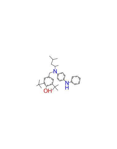 CC(C)CC(C)N(Cc1cc(C(C)(C)C)c(O)c(C(C)(C)C)c1)c1ccc(Nc2ccccc2)cc1